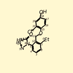 CCc1cccc(-n2nn[nH]c2=O)c1COc1ccc(O)cc1Cl